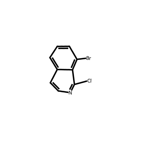 Clc1nccc2cccc(Br)c12